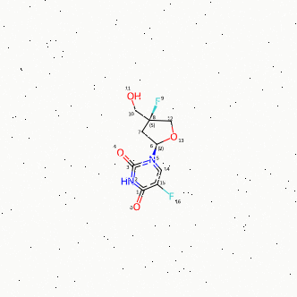 O=c1[nH]c(=O)n([C@H]2C[C@](F)(CO)CO2)cc1F